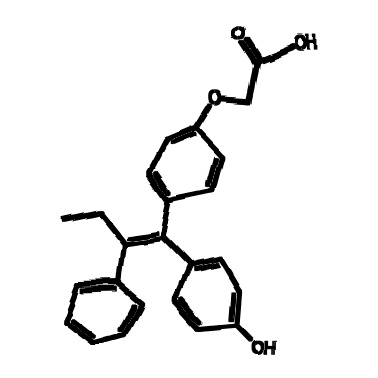 CCC(=C(c1ccc(O)cc1)c1ccc(OCC(=O)O)cc1)c1ccccc1